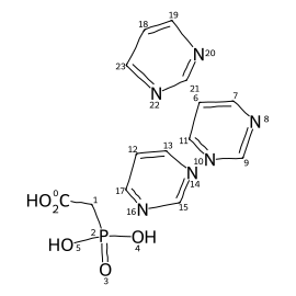 O=C(O)CP(=O)(O)O.c1cncnc1.c1cncnc1.c1cncnc1